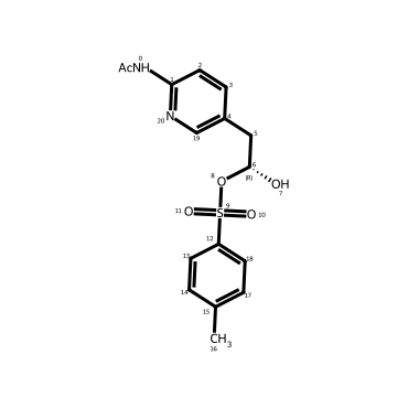 CC(=O)Nc1ccc(C[C@H](O)OS(=O)(=O)c2ccc(C)cc2)cn1